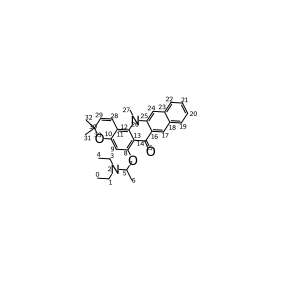 CCN(CC)C(C)Oc1cc2c(c3c1c(=O)c1cc4ccccc4cc1n3C)C=CC(C)(C)O2